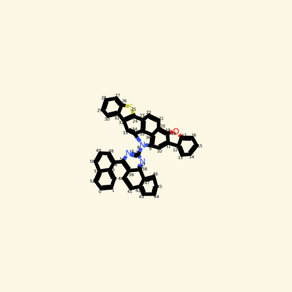 c1ccc2c(-c3nc(-n4c5cc6c7ccccc7oc6c6ccc7c8sc9ccccc9c8cc4c7c65)nc4c3ccc3ccccc34)cccc2c1